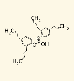 C=CCCc1cc(CC=C)ccc1OP(O)Oc1ccc(CC=C)cc1CCC=C